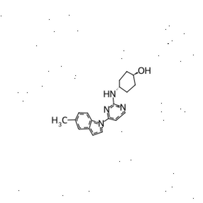 Cc1ccc2c(ccn2-c2ccnc(N[C@H]3CC[C@H](O)CC3)n2)c1